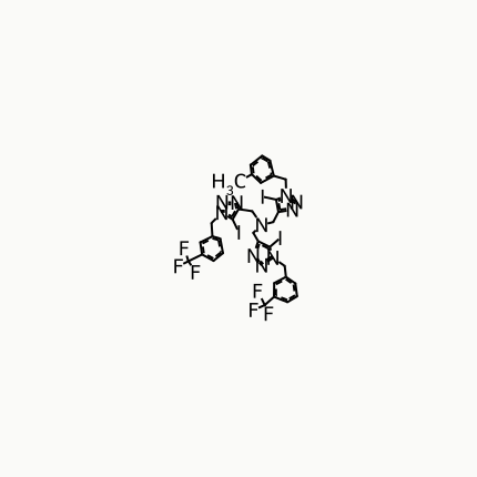 Cc1cccc(Cn2nnc(CN(Cc3nnn(Cc4cccc(C(F)(F)F)c4)c3I)Cc3nnn(Cc4cccc(C(F)(F)F)c4)c3I)c2I)c1